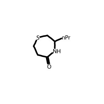 CCCC1CSCCC(=O)N1